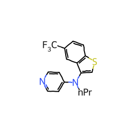 CCCN(c1ccncc1)c1csc2ccc(C(F)(F)F)cc12